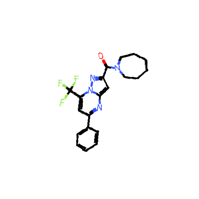 O=C(c1cc2nc(-c3ccccc3)cc(C(F)(F)F)n2n1)N1CCCCCC1